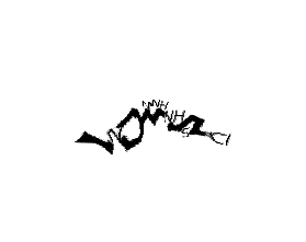 Clc1ccc(CNc2cc(C3CCN(CC4CC4)CC3)n[nH]2)s1